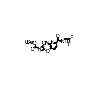 C[C@@H]1[C@@H](Oc2ccc(C(=O)NCC(F)F)nc2F)CN1C(=O)OC(C)(C)C